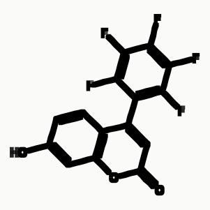 O=c1cc(-c2c(F)c(F)c(F)c(F)c2F)c2ccc(O)cc2o1